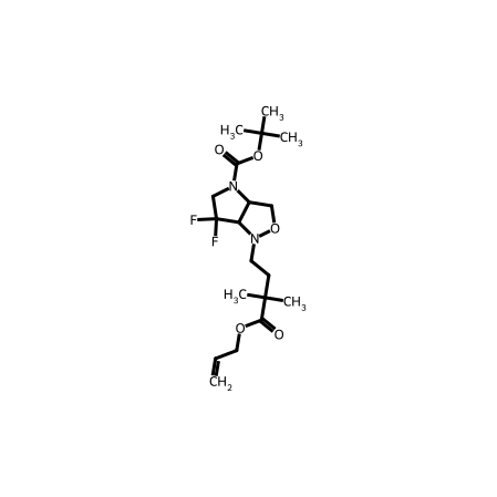 C=CCOC(=O)C(C)(C)CCN1OCC2C1C(F)(F)CN2C(=O)OC(C)(C)C